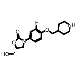 O=C1O[C@@H](CO)CN1c1ccc(OCC2CCNCC2)c(F)c1